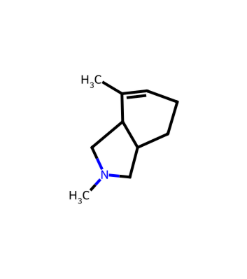 CC1=CCCC2CN(C)CC12